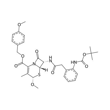 COc1ccc(COC(=O)C2=C(C)[C@@H](OC)S[C@H]3[C@@H](NC(=O)Cc4ccccc4NC(=O)OC(C)(C)C)C(=O)N23)cc1